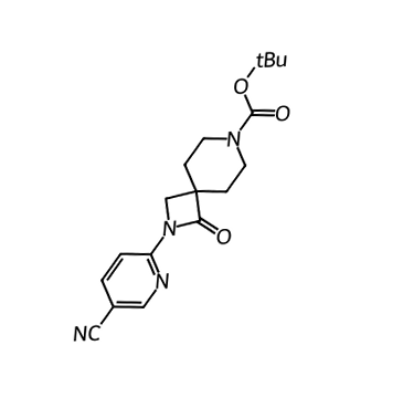 CC(C)(C)OC(=O)N1CCC2(CC1)CN(c1ccc(C#N)cn1)C2=O